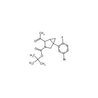 CC(=O)C1C2CC2(c2cc(Br)ccc2F)CN1C(=O)OC(C)(C)C